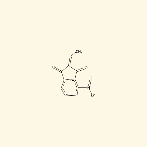 C/[C]=C1/C(=O)c2cccc([N+](=O)[O-])c2C1=O